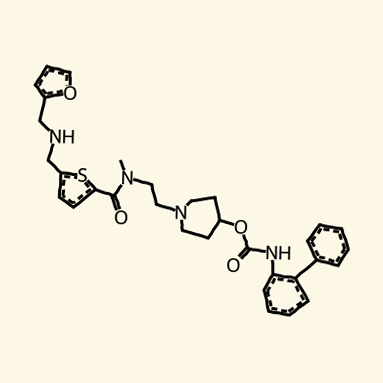 CN(CCN1CCC(OC(=O)Nc2ccccc2-c2ccccc2)CC1)C(=O)c1ccc(CNCc2ccco2)s1